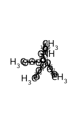 COCCOCCOc1cc(C(=O)Nc2ccc(C)cc2)cc(OCCOCCOC)c1OCCOCCOC